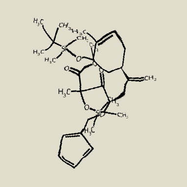 C=C(C[C@@H](OCc1ccccc1)C(=O)C(C)(O[Si](C)(C)C)C(=O)OC)[C@@H]1CC=C(C)C(O[Si](C)(C)C(C)(C)C)C1